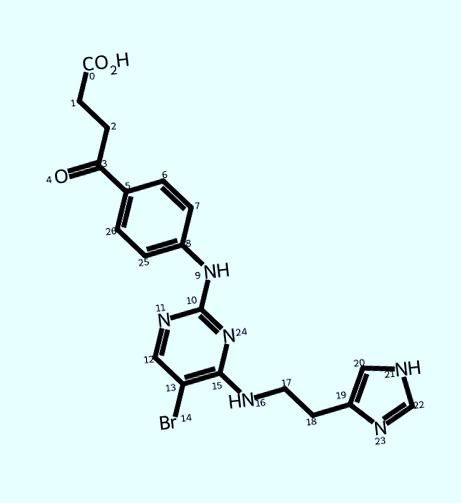 O=C(O)CCC(=O)c1ccc(Nc2ncc(Br)c(NCCc3c[nH]cn3)n2)cc1